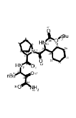 CCCCC(NC(=O)C1C2CCC(C2)N1C(=O)C(NC(=O)OC(C)(C)C)C1CCCCC1)C(=O)C(N)=O